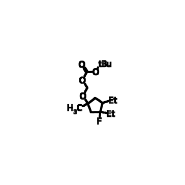 CCC1CC(C)(OCOC(=O)OC(C)(C)C)CC1(F)CC